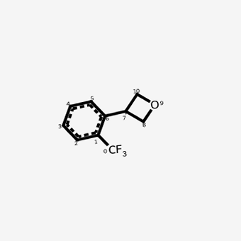 FC(F)(F)c1ccccc1[C]1COC1